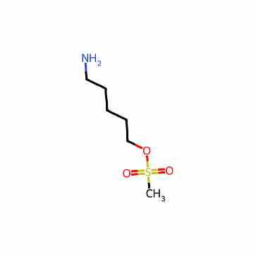 CS(=O)(=O)OCCCCCN